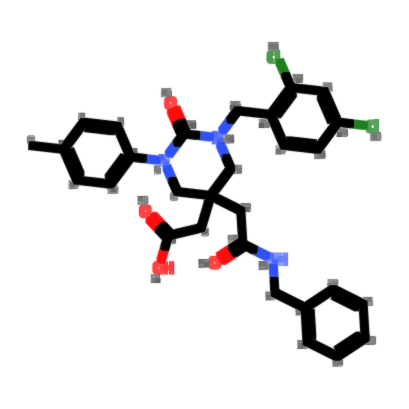 Cc1ccc(N2CC(CC(=O)O)(CC(=O)NCc3ccccc3)CN(Cc3ccc(Cl)cc3Cl)C2=O)cc1